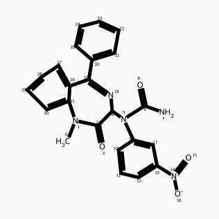 CN1C(=O)C(N(C(N)=O)c2cccc([N+](=O)[O-])c2)N=C(c2ccccc2)c2ccccc21